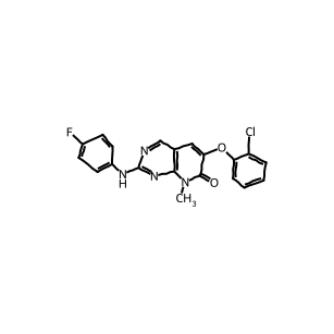 Cn1c(=O)c(Oc2ccccc2Cl)cc2cnc(Nc3ccc(F)cc3)nc21